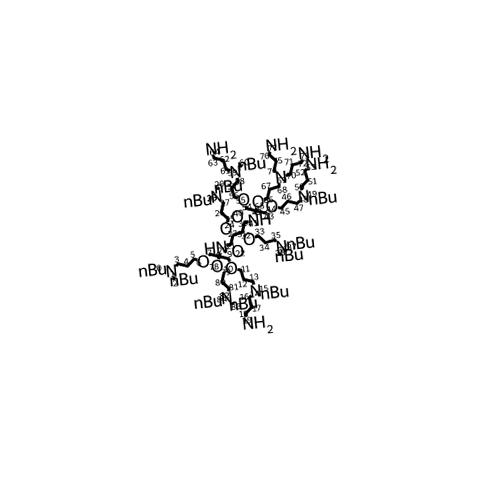 CCCCN(CCCC)CCCOCC(COCCCN(CCCC)CCCN)(NC(=O)C(OCCCN(CCCC)CCCC)C(OCCCN(CCCC)CCCC)C(=O)NC(COCCCN(CCCC)CCCN)(COCCCN(CCCC)CCCN)OCCCN(CCCN)CCCN)OCCCN(CCCC)CCCC